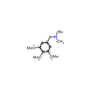 COc1cc(CN(C)C(C)(C)C)cc(OC)c1OC